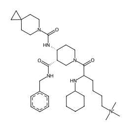 C[N+](C)(C)CCCCC(NC1CCCCC1)C(=O)N1CC[C@@H](NC(=O)N2CCC3(CC2)CC3)[C@@H](C(=O)NCc2ccccc2)C1